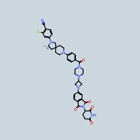 C[C@H]1CC2(CCN(c3ccc(C(=O)N4CCN(C5CN(c6ccc7c(c6)C(=O)N(C6CCC(=O)NC6=O)C7=O)C5)CC4)cc3)CC2)CN1c1ccc(C#N)c(F)c1